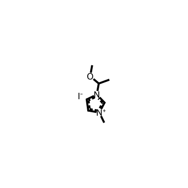 COC(C)n1cc[n+](C)c1.[I-]